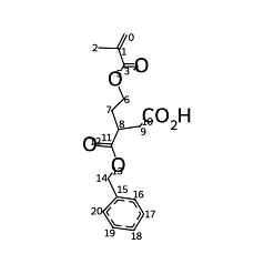 C=C(C)C(=O)OCCC(CC(=O)O)C(=O)OCc1ccccc1